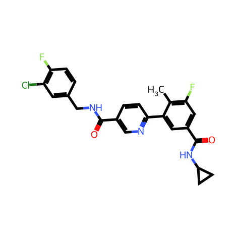 Cc1c(F)cc(C(=O)NC2CC2)cc1-c1ccc(C(=O)NCc2ccc(F)c(Cl)c2)cn1